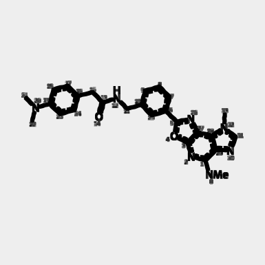 CNc1nc2oc(-c3cccc(CNC(=O)Cc4ccc(N(C)C)cc4)c3)nc2c2c1ncn2C